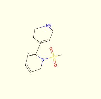 CS(=O)(=O)N1CC=CC=C1C1=CCNCC1